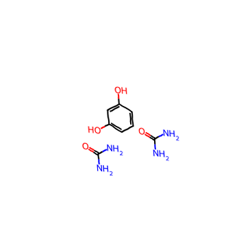 NC(N)=O.NC(N)=O.Oc1cccc(O)c1